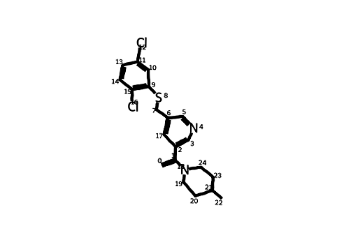 C=C(c1cncc(CSc2cc(Cl)ccc2Cl)c1)N1CCC(C)CC1